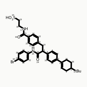 CC(C)(C)C1CC=C(c2ccc(C(Cc3ccc(C(=O)NCCS(=O)(=O)O)cc3)C(=O)Nc3ccc(Br)cc3)cc2)CC1